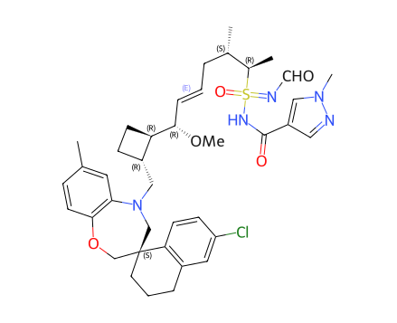 CO[C@@H](/C=C/C[C@H](C)[C@@H](C)S(=O)(=NC=O)NC(=O)c1cnn(C)c1)[C@@H]1CC[C@H]1CN1C[C@@]2(CCCc3cc(Cl)ccc32)COc2ccc(C)cc21